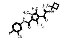 Cc1c(C(=O)C(=O)NC2(C)CCC2)c(C)n(C)c1C(=O)Nc1ccc(F)c(C#N)c1